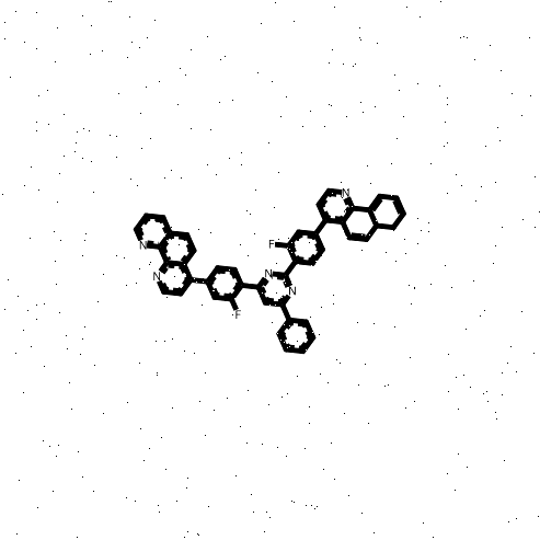 Fc1cc(-c2ccnc3c2ccc2cccnc23)ccc1-c1cc(-c2ccccc2)nc(-c2ccc(-c3ccnc4c3C=CC3CC=CC=C43)cc2F)n1